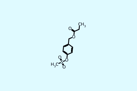 CCC(=O)OCc1ccc(OS(C)(=O)=O)cc1